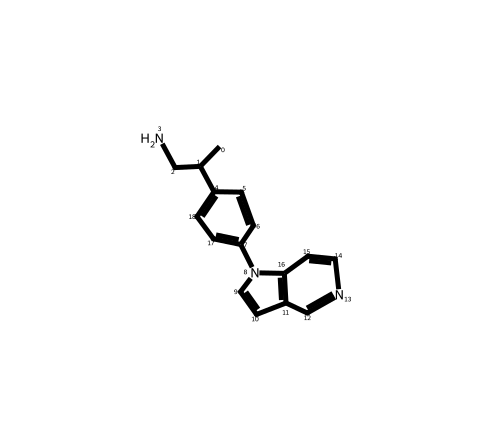 CC(CN)c1ccc(-n2ccc3cnccc32)cc1